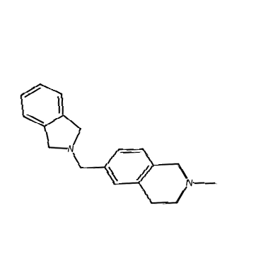 CN1CCc2cc(CN3Cc4ccccc4C3)ccc2C1